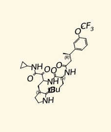 C[C@H](CC(=O)N[C@@H](CC(C)(C)C)C(=O)NC(C[C@@H]1CCNC1=O)C(=O)C(=O)NC1CC1)c1cccc(OC(F)(F)F)c1